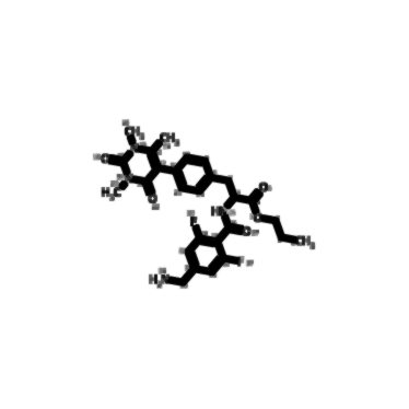 CCCOC(=O)C(Cc1ccc(-c2c(C)n(C)c(=O)n(C)c2=O)cc1)NC(=O)c1c(F)cc(CN)cc1F